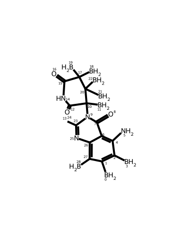 Bc1c(B)c(N)c2c(=O)n(C3(B)C(=O)NC(=O)C(B)(B)C3(B)B)c(C)nc2c1B